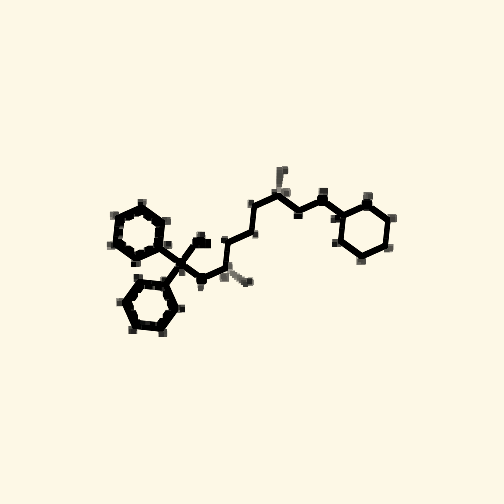 C[C@@H](CCC[C@H](C)O[Si](c1ccccc1)(c1ccccc1)C(C)(C)C)COC1CCCCO1